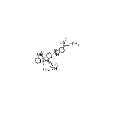 CCCC(c1ccc2nn(-c3ccc(C(C)(C)c4ccccc4O)c(C(C)(C)CC(C)(C)C)c3)nc2c1)[SH](=O)=O